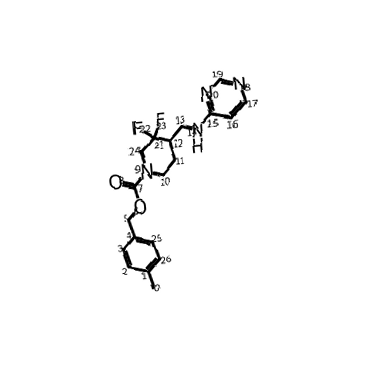 Cc1ccc(COC(=O)N2CCC(CNc3ccncn3)C(F)(F)C2)cc1